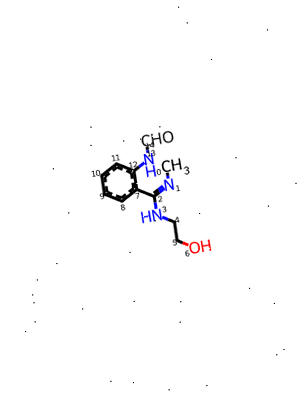 C/N=C(/NCCO)c1ccccc1NC=O